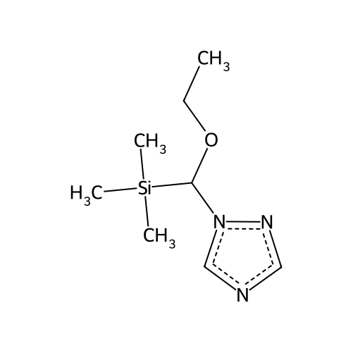 CCOC(n1cncn1)[Si](C)(C)C